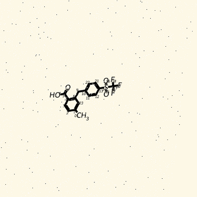 Cc1ccc(C(=O)O)c(Cc2ccc(S(=O)(=O)C(F)(F)F)cc2)c1